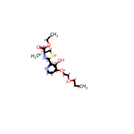 CCCOCCOc1ccnc(C2=N[C@@](C)(C(=O)OCC)CS2)c1O